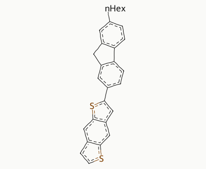 CCCCCCc1ccc2c(c1)Cc1cc(-c3cc4cc5sccc5cc4s3)ccc1-2